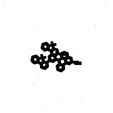 CC(C)(C)c1cc(-c2ccccc2N(c2cccc(-c3cccc4c3C(C)(C)c3ccccc3-4)c2)c2ccccc2-c2ccc3c(c2)C(C)(C)c2ccccc2-3)cc(C(C)(C)C)c1